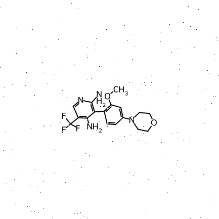 COc1cc(N2CCOCC2)ccc1-c1c(N)ncc(C(F)(F)F)c1N